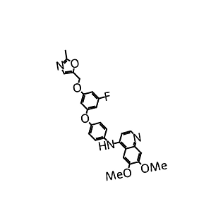 COc1cc2nccc(Nc3ccc(Oc4cc(F)cc(OCc5cnc(C)o5)c4)cc3)c2cc1OC